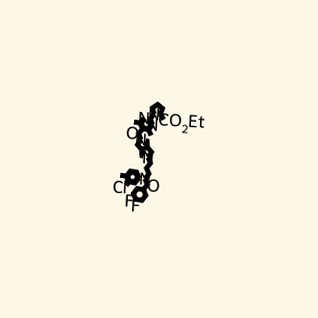 CCOC(=O)C1CCCN1c1nc(C)c(C(=O)N2CC3CN(CCCN(C(=O)C4CCC(F)(F)CC4)c4ccc(C)c(Cl)c4)CC3C2)c(C)n1